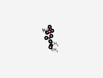 C[C@H]1CCC2CC1CC(C)(c1ccc(N(c3ccccc3)c3cccc(N(c4ccccc4)c4cccc5c4C(C)(C)c4ccccc4-5)c3)cc1)C2